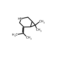 CC(C)=C1CNCC2C1C2(C)C